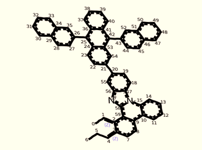 C/C=c1\c(=C/CC)ccc2c3ccccc3n3c4ccc(-c5ccc6c(-c7ccc8ccccc8c7)c7ccccc7c(-c7ccc8ccccc8c7)c6c5)cc4nc3c12